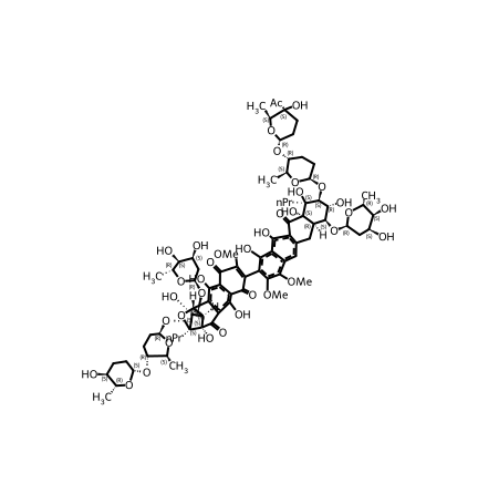 CCC[C@@]12O[C@@H]3c4c(O)c5c(c(O)c4C(=O)[C@]1(O)[C@H]3[C@H](O[C@@H]1C[C@H](O)[C@H](O)[C@@H](C)O1)[C@@H](O)[C@@H]2O[C@@H]1CC[C@@H](O[C@H]2CC[C@H](O)[C@@H](C)O2)[C@H](C)O1)C(=O)C(c1c(OC)c(OC)c2cc3c(c(O)c2c1O)C(=O)[C@]1(O)[C@H](C3)[C@H](O[C@@H]2C[C@H](O)[C@H](O)[C@@H](C)O2)[C@@H](O)[C@H](O[C@@H]2CC[C@@H](O[C@H]3CC[C@@](O)(C(C)=O)[C@H](C)O3)[C@H](C)O2)[C@@]1(O)CCC)=C(OC)C5=O